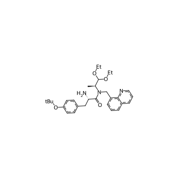 CCOC(OCC)[C@H](C)N(Cc1cccc2cccnc12)C(=O)[C@@H](N)Cc1ccc(OC(C)(C)C)cc1